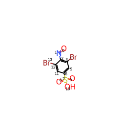 O=Nc1c(Br)cc(S(=O)(=O)O)cc1Br